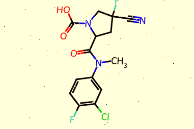 CN(C(=O)C1CC(F)(C#N)CN1C(=O)O)c1ccc(F)c(Cl)c1